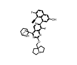 C#Cc1c(F)ccc2cc(O)cc(-c3ncc4c(N5CC6CCC5CN6)nc(OCC56CCCN5CCC6)nc4c3F)c12